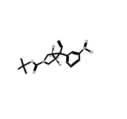 C=CC1(c2cccc([N+](=O)[O-])c2)[C@@H]2CN(C(=O)OC(C)(C)C)C[C@@H]21